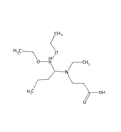 CCCC(N(CC)CCC(=O)O)[SiH](OCC)OCC